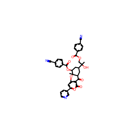 CC(O)(COC(=O)c1ccc(C#N)cc1)C1CC(OC(=O)c2ccc(C#N)cc2)C2(C)Oc3cc(-c4cccnc4)oc(=O)c3C(=O)C2C1